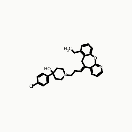 CCc1cccc2c1CC(=CCCN1CCC(O)(c3ccc(Cl)cc3)CC1)c1cccnc1O2